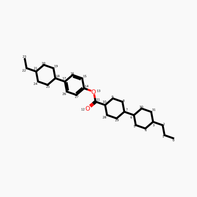 CCCC1CCC(C2CCC(C(=O)Oc3ccc(C4CCC(CC)CC4)cc3)CC2)CC1